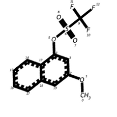 COc1cc(OS(=O)(=O)C(F)(F)F)c2ccccc2c1